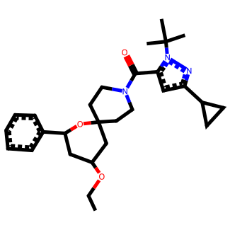 CCOC1CC(c2ccccc2)OC2(CCN(C(=O)c3cc(C4CC4)nn3C(C)(C)C)CC2)C1